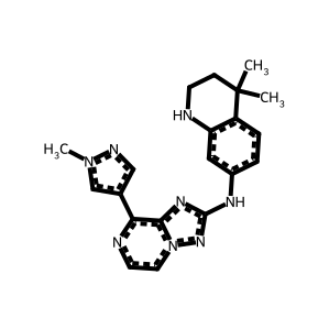 Cn1cc(-c2nccn3nc(Nc4ccc5c(c4)NCCC5(C)C)nc23)cn1